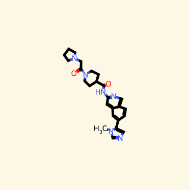 Cn1cncc1-c1ccc2cnc(NC(=O)C3CCN(C(=O)CN4CCCC4)CC3)cc2c1